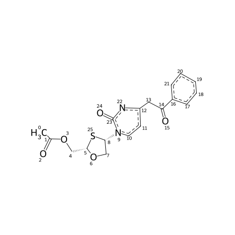 CC(=O)OC[C@H]1OC[C@@H](n2ccc(CC(=O)c3ccccc3)nc2=O)S1